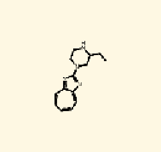 CCC1CN(c2nc3cccccc-3n2)CCN1